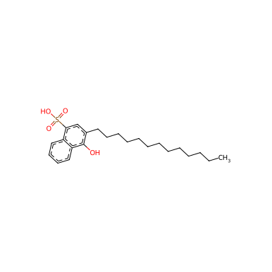 CCCCCCCCCCCCCc1cc(S(=O)(=O)O)c2ccccc2c1O